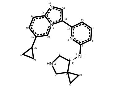 c1cc(N[C@H]2CNCC23CC3)nc(-c2cnc3ccc(C4CC4)cn23)c1